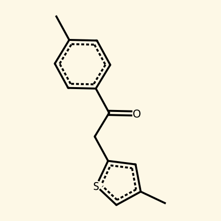 Cc1ccc(C(=O)Cc2cc(C)cs2)cc1